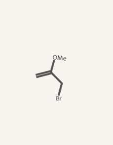 C=C(CBr)OC